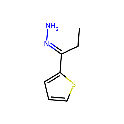 CCC(=NN)c1cccs1